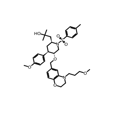 COCCCN1CCOc2ccc(CO[C@H]3CN(S(=O)(=O)c4ccc(C)cc4)[C@H](CC(C)(C)O)C[C@@H]3c3ccc(OC)cc3)cc21